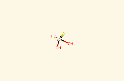 [OH][Sb]([OH])([OH])=[S]